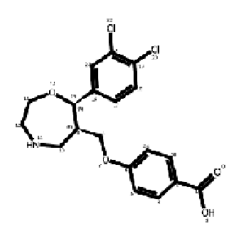 O=C(O)c1ccc(OC[C@H]2CNCCO[C@H]2c2ccc(Cl)c(Cl)c2)cc1